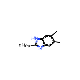 CCCCCCc1nc2cc(C)c(C)cc2[nH]1